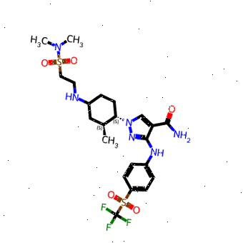 C[C@H]1CC(NCCS(=O)(=O)N(C)C)CC[C@@H]1n1cc(C(N)=O)c(Nc2ccc(S(=O)(=O)C(F)(F)F)cc2)n1